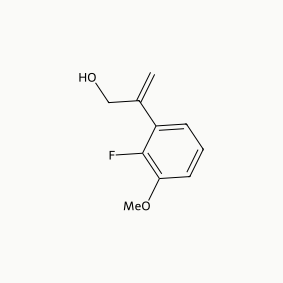 C=C(CO)c1cccc(OC)c1F